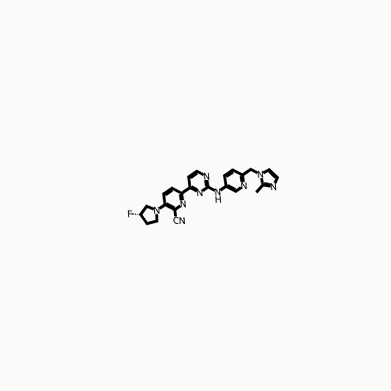 Cc1nccn1Cc1ccc(Nc2nccc(-c3ccc(N4CC[C@H](F)C4)c(C#N)n3)n2)cn1